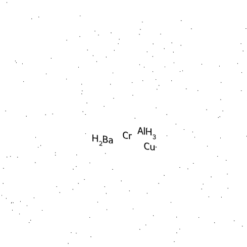 [AlH3].[BaH2].[Cr].[Cu]